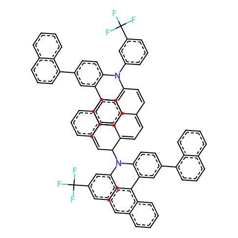 FC(F)(F)c1cccc(N(C2=C3C=CC4=C5C(=CC=C(C=C2)C35)C(N(c2cccc(C(F)(F)F)c2)c2ccc(-c3cccc5ccccc35)cc2-c2cccc3ccccc23)C=C4)c2ccc(-c3cccc4ccccc34)cc2-c2cccc3ccccc23)c1